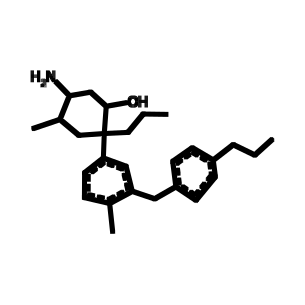 CCCc1ccc(Cc2cc(C3(CCC)CC(C)C(N)CC3O)ccc2C)cc1